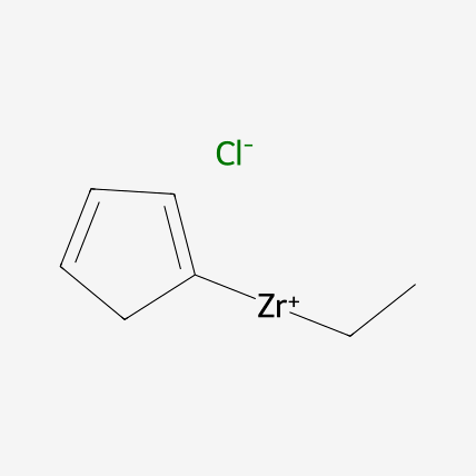 C[CH2][Zr+][C]1=CC=CC1.[Cl-]